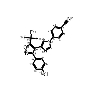 N#Cc1ccc(-n2cnc(-c3c(-c4ccc(Cl)cc4)noc3C(F)(F)F)c2)cc1